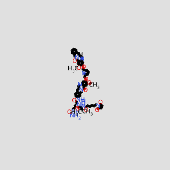 COc1cc2c(cc1OCc1cccc(COc3cc4c(cc3OC)C(=O)N3Cc5ccccc5C[C@H]3C=N4)n1)N=CC1Cc3ccc(NC(=O)[C@H](CCCNC(N)=O)NC(=O)[C@@H](NC(=O)CCCCCN4C(=O)C=CC4=O)C(C)C)cc3CN1C2=O